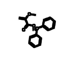 C=C(OC)C(=O)O.c1ccc(Oc2ccccc2)cc1